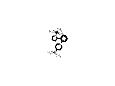 CN(C)C1CCN(c2ccccc2C2CCCN2C(C)(C)C)CC1